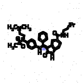 CC(C)CCNC(=O)c1ccc2c(c1)/C(=C(/Nc1ccc(N(CCN(C)C)S(C)(=O)=O)cc1)c1ccccc1)C(=O)N2